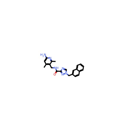 Cc1cc(N)nc(C)c1CNC(=O)c1ncn(Cc2ccc3ccccc3c2)n1